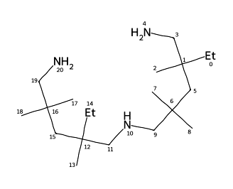 CCC(C)(CN)CC(C)(C)CNCC(C)(CC)CC(C)(C)CN